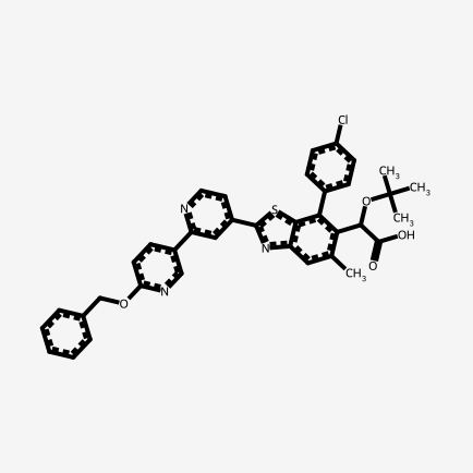 Cc1cc2nc(-c3ccnc(-c4ccc(OCc5ccccc5)nc4)c3)sc2c(-c2ccc(Cl)cc2)c1C(OC(C)(C)C)C(=O)O